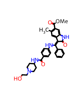 COC(=O)c1cc2c(cc1C)C(=C(Nc1ccc(C(=O)NC3CCN(CCO)CC3)cc1)c1ccccc1)C(=O)N2